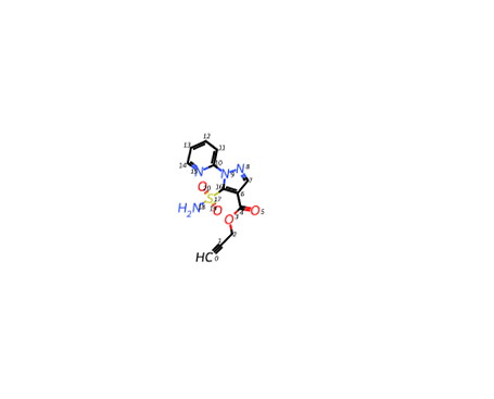 C#CCOC(=O)c1cnn(-c2ccccn2)c1S(N)(=O)=O